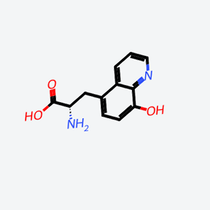 N[C@@H](Cc1ccc(O)c2ncccc12)C(=O)O